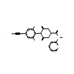 CC#Cc1cc(Cl)c(C2C(=O)CC(C(=O)N(C)c3ccccn3)CC2=O)c(OC)c1